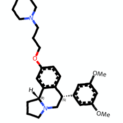 COc1cc(OC)cc([C@@H]2CN3CCC[C@@H]3c3cc(OCCCN4CCCCC4)ccc32)c1